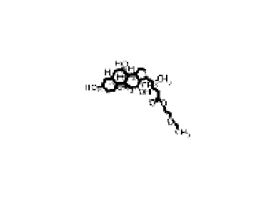 CCOCCOC(=O)CC[C@@H](C)[C@H]1CC[C@H]2[C@@H]3[C@H](O)C[C@@H]4C[C@H](O)CC[C@]4(C)[C@H]3C[C@H](O)[C@]12C